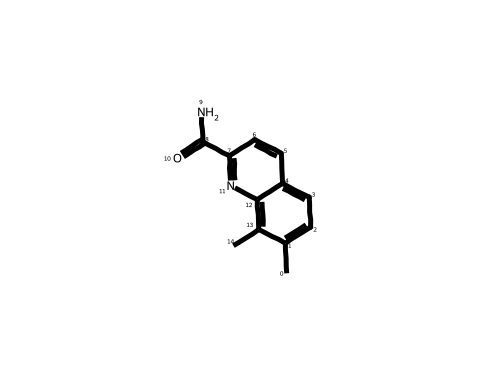 Cc1ccc2ccc(C(N)=O)nc2c1C